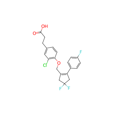 O=C(O)CCc1ccc(OCC2=C(c3ccc(F)cc3)CC(F)(F)C2)c(Cl)c1